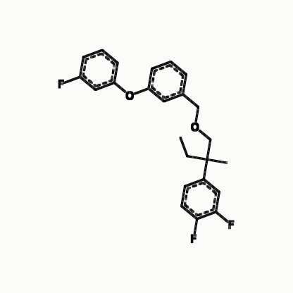 CCC(C)(COCc1cccc(Oc2cccc(F)c2)c1)c1ccc(F)c(F)c1